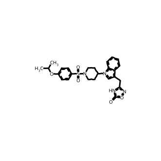 CC(C)Oc1ccc(S(=O)(=O)N2CCC(n3cc(Cc4noc(=O)[nH]4)c4ccccc43)CC2)cc1